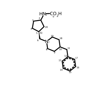 O=C(O)NC1CC[C@H](CN2CCC(Cc3ccccc3)CC2)C1